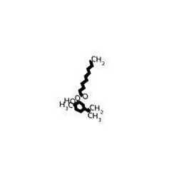 C=CCCCCCCCCC(=O)OC1CC(C(=C)C)CCC1(C)O